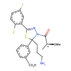 CO[C@@H](C)C(=O)N1N=C(c2cc(F)ccc2F)SC1(CCCN)c1cccc(C(=O)O)c1